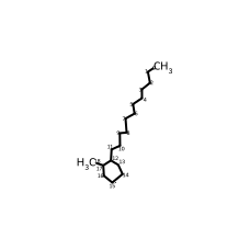 CCCCCCCCCCCCC1CC[CH]CC1C